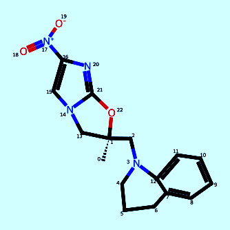 C[C@]1(CN2CCCc3ccccc32)Cn2cc([N+](=O)[O-])nc2O1